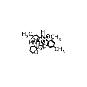 Cc1cc(C)c(S(=O)(=O)NC(CC(C)C)C(=O)N[C@H]2CCCOC2O)c(C)c1